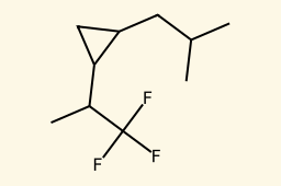 CC(C)CC1CC1C(C)C(F)(F)F